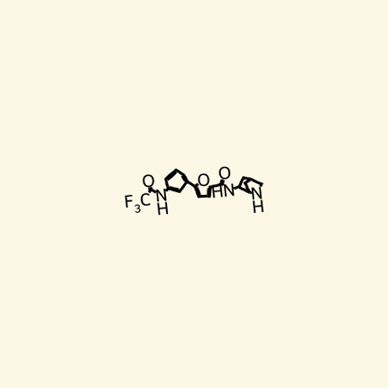 O=C(NC1CC2CNC1C2)c1ccc(-c2cccc(NC(=O)C(F)(F)F)c2)o1